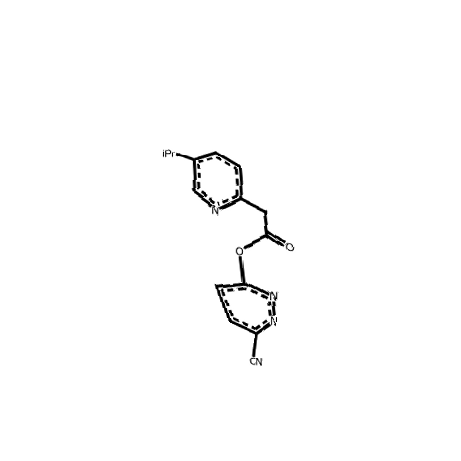 CC(C)c1ccc(CC(=O)Oc2ccc(C#N)nn2)nc1